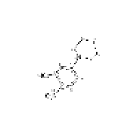 [CH]c1cc(N2CCCCC2)ccc1[N+](=O)[O-]